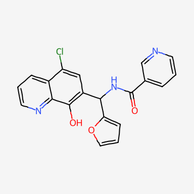 O=C(NC(c1ccco1)c1cc(Cl)c2cccnc2c1O)c1cccnc1